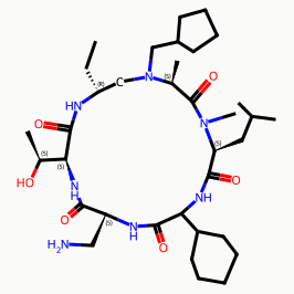 CC[C@@H]1CN(CC2CCCC2)[C@@H](C)C(=O)N(C)[C@@H](CC(C)C)C(=O)NC(C2CCCCC2)C(=O)N[C@@H](CN)C(=O)N[C@@H]([C@H](C)O)C(=O)N1